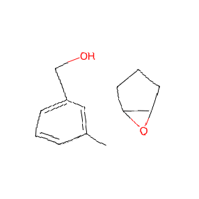 C1CC2OC2C1.Cc1cccc(CO)c1